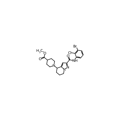 COC(=O)C1CCN(C2CCCn3nc(C(=O)Nc4cccc(Br)c4Cl)cc32)CC1